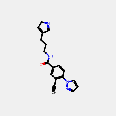 C#Cc1cc(C(=O)NCCCC2=CCN=C2)ccc1-n1cccn1